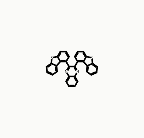 c1ccc2nc(-c3cccc4sc5ccccc5c34)c(-c3cccc4sc5ccccc5c34)nc2c1